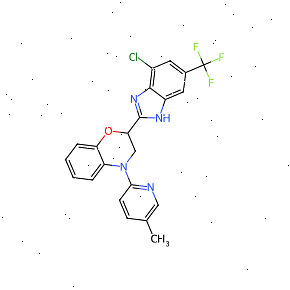 Cc1ccc(N2CC(c3nc4c(Cl)cc(C(F)(F)F)cc4[nH]3)Oc3ccccc32)nc1